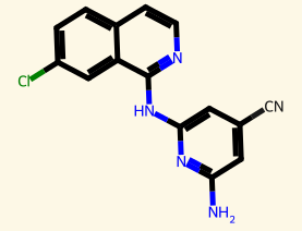 N#Cc1cc(N)nc(Nc2nccc3ccc(Cl)cc23)c1